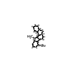 Cn1c2cccc(C(C)(C)C)c2c2ccc3sc4ccccc4c3c21